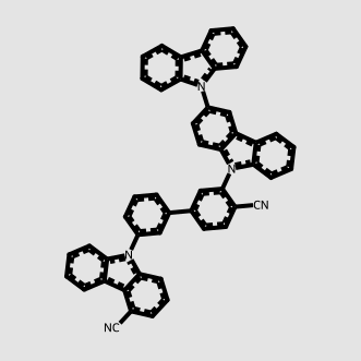 N#Cc1ccc(-c2cccc(-n3c4ccccc4c4c(C#N)cccc43)c2)cc1-n1c2ccccc2c2cc(-n3c4ccccc4c4ccccc43)ccc21